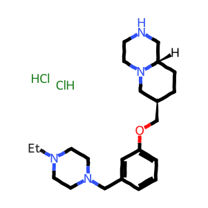 CCN1CCN(Cc2cccc(OC[C@@H]3CC[C@H]4CNCCN4C3)c2)CC1.Cl.Cl